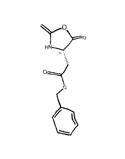 C=C1N[C@@H](CC(=O)OCc2ccccc2)C(=O)O1